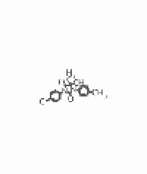 Cc1ccc(N2C(=O)N(c3ccc(Cl)cc3)C(=O)C2(C)C)cc1